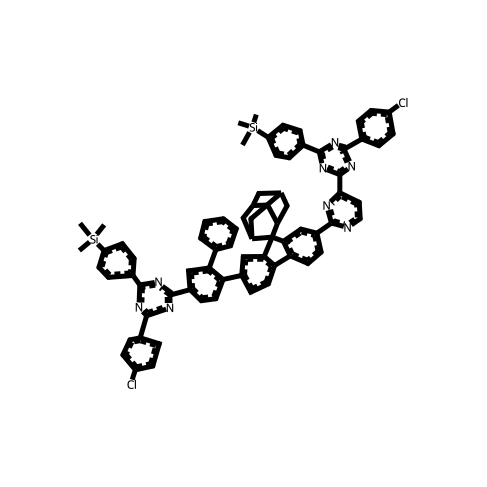 C[Si](C)(C)c1ccc(-c2nc(-c3ccc(Cl)cc3)nc(-c3ccc(-c4ccc5c(c4)C4(c6cc(-c7nccc(-c8nc(-c9ccc(Cl)cc9)nc(-c9ccc([Si](C)(C)C)cc9)n8)n7)ccc6-5)C5CC6CC(C5)CC4C6)c(-c4ccccc4)c3)n2)cc1